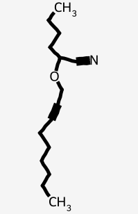 CCCCCCC#CCOC(C#N)CCCC